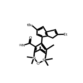 CCC1=Cc2cc(C(C)(C)C)cc(-c3c(C)c4c(C)c(c3C([NH])=O)[Si](C)(C)O[Si]4(C)C)c2C1